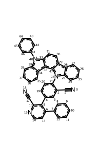 N#Cc1cc(-c2c(-c3ccccc3)ccnc2C#N)ccc1-n1c2ccccc2c2ccc3c(c4ccccc4n3-c3ccccc3)c21